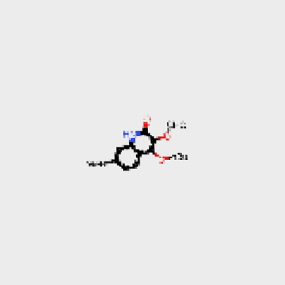 CCCCOc1c(OC=O)c(=O)[nH]c2cc(NC)ccc12